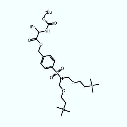 CC(C)C(NC(=O)OC(C)(C)C)C(=O)OCc1ccc(S(=O)(=O)N(COCC[Si](C)(C)C)COCC[Si](C)(C)C)cc1